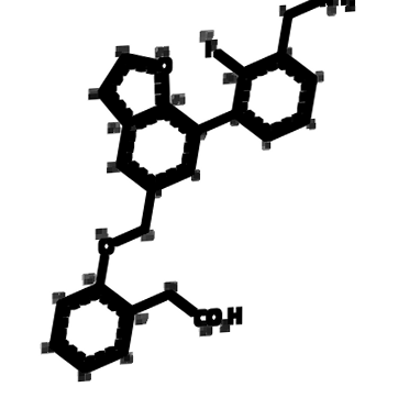 NCc1cccc(-c2cc(COc3ccccc3CC(=O)O)cc3ccoc23)c1F